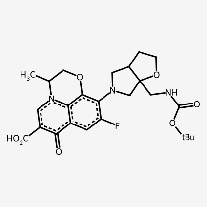 CC1COc2c(N3CC4CCOC4(CNC(=O)OC(C)(C)C)C3)c(F)cc3c(=O)c(C(=O)O)cn1c23